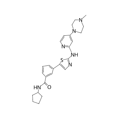 CN1CCN(c2ccnc(Nc3ncc(-c4cccc(C(=O)NC5CCCC5)c4)s3)c2)CC1